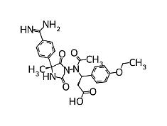 CCOc1ccc([C@@H](CC(=O)O)N(C(C)=O)N2C(=O)N[C@](C)(c3ccc(C(=N)N)cc3)C2=O)cc1